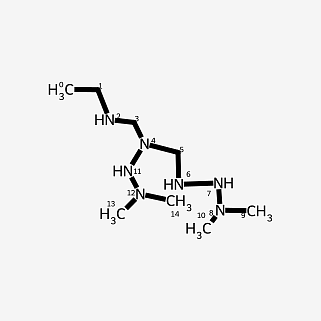 CCNCN(CNNN(C)C)NN(C)C